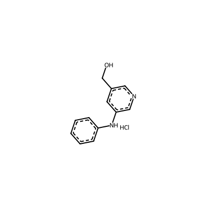 Cl.OCc1cncc(Nc2ccccc2)c1